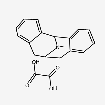 CN1C2Cc3ccccc3C1c1ccccc1C2.O=C(O)C(=O)O